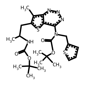 Cc1c(CC(C)NC(=O)OC(C)(C)C)sc2c(N(Cc3cccs3)C(=O)OC(C)(C)C)nnnc12